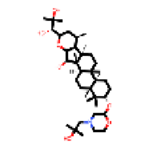 C[C@@H]1CC([C@H](O)C(C)(C)O)OC2C1[C@@]1(C)CCC34C[C@@]35CC[C@H](OC3CN(CC(C)(C)O)CCO3)C(C)(C)[C@@H]5CC[C@H]4[C@]1(C)[C@H]2O